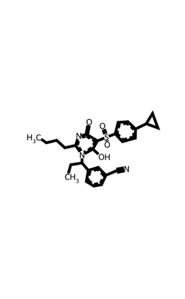 CCCCc1nc(=O)c(S(=O)(=O)c2ccc(C3CC3)cc2)c(O)n1C(CC)c1cccc(C#N)c1